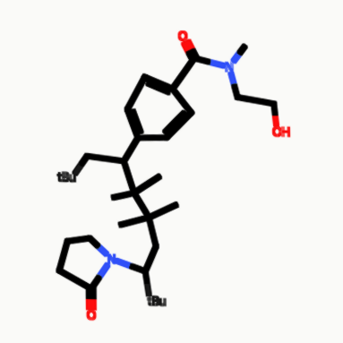 CN(CCO)C(=O)c1ccc(C(CC(C)(C)C)C(C)(C)C(C)(C)CC(N2CCCC2=O)C(C)(C)C)cc1